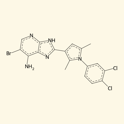 Cc1cc(-c2nc3c(N)c(Br)cnc3[nH]2)c(C)n1-c1ccc(Cl)c(Cl)c1